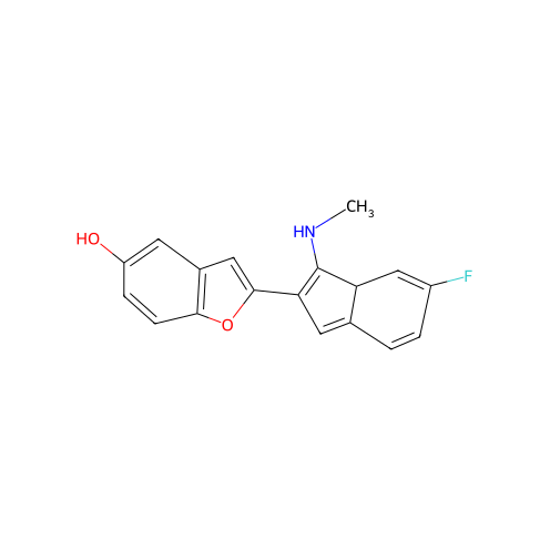 CNC1=C(c2cc3cc(O)ccc3o2)C=C2C=CC(F)=CC21